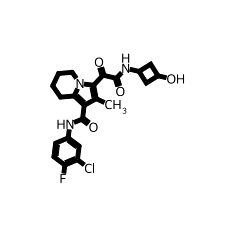 Cc1c(C(=O)Nc2ccc(F)c(Cl)c2)c2n(c1C(=O)C(=O)NC1CC(O)C1)CCCC2